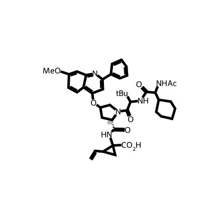 C=CC1CC1(NC(=O)[C@@H]1CC(Oc2cc(-c3ccccc3)nc3cc(OC)ccc23)CN1C(=O)C(NC(=O)C(NC(C)=O)C1CCCCC1)C(C)(C)C)C(=O)O